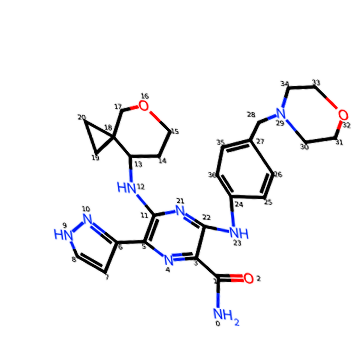 NC(=O)c1nc(-c2cc[nH]n2)c(NC2CCOCC23CC3)nc1Nc1ccc(CN2CCOCC2)cc1